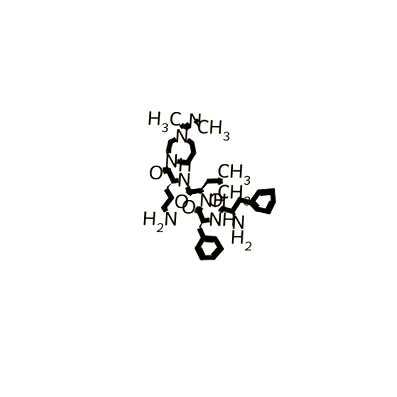 C/N=C(/C)N1CCCN(C(=O)[C@@H](CCCN)NC(=O)[C@@H](CC(C)C)NC(=O)[C@@H](Cc2ccccc2)NC(=O)[C@H](N)Cc2ccccc2)CC1